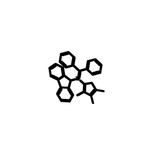 CC1=C(C)C(C)=[C]([Zr](=[C](c2ccccc2)c2ccccc2)[CH]2c3ccccc3-c3ccccc32)C1